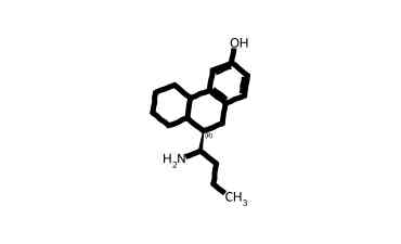 CCCC(N)[C@@H]1Cc2ccc(O)cc2C2CCCCC21